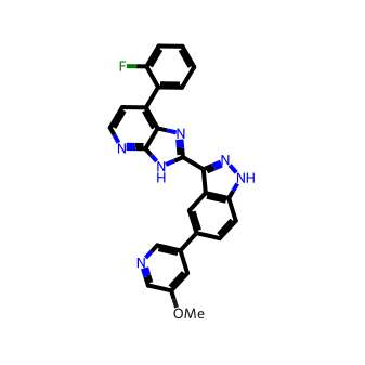 COc1cncc(-c2ccc3[nH]nc(-c4nc5c(-c6ccccc6F)ccnc5[nH]4)c3c2)c1